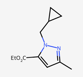 CCOC(=O)c1cc(C)nn1CC1CC1